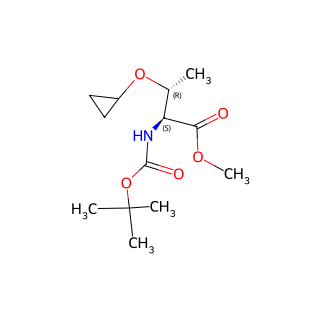 COC(=O)[C@@H](NC(=O)OC(C)(C)C)[C@@H](C)OC1CC1